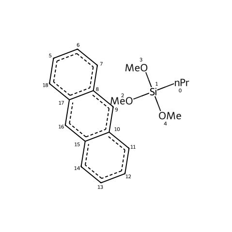 CCC[Si](OC)(OC)OC.c1ccc2cc3ccccc3cc2c1